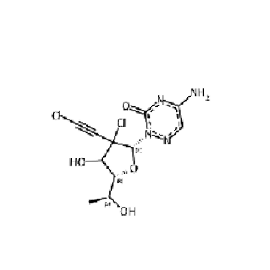 C[C@H](O)[C@H]1O[C@@H](n2ncc(N)nc2=O)C(Cl)(C#CCl)C1O